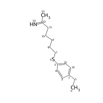 CCc1ccc(SCCCCCC(C)=N)cc1